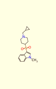 Cn1cc(S(=O)(=O)C2CCN(CC3CC3)CC2)c2ccccc21